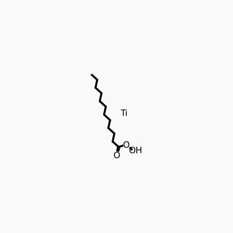 CCCCCCCCCCCC(=O)OO.[Ti]